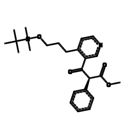 COC(=O)[C@H](C(=O)c1cnccc1CCCO[Si](C)(C)C(C)(C)C)c1ccccc1